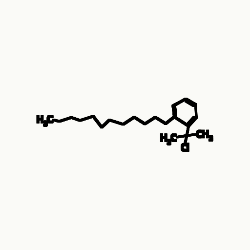 CCCCCCCCCCCCc1ccccc1C(C)(C)Cl